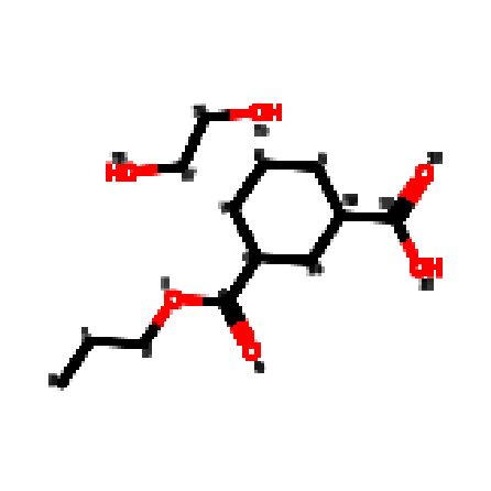 CCCOC(=O)C1CCCC(C(=O)O)C1.OCCO